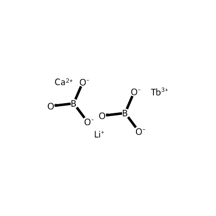 [Ca+2].[Li+].[O-]B([O-])[O-].[O-]B([O-])[O-].[Tb+3]